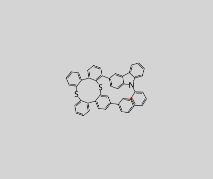 c1ccc(-c2ccc3c(c2)Sc2c(-c4ccc5c(c4)c4ccccc4n5-c4ccccc4)cccc2-c2ccccc2Sc2ccccc2-3)cc1